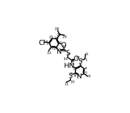 CCSc1cc(C)nc(SCC)c1NC(=O)CSc1nc2c(C)c(Cl)cc(C(C)C)c2o1